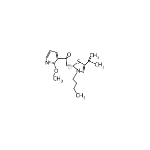 C=C(C)C1=CN(CCCC)/C(=C/C(=O)c2cccnc2OCC)S1